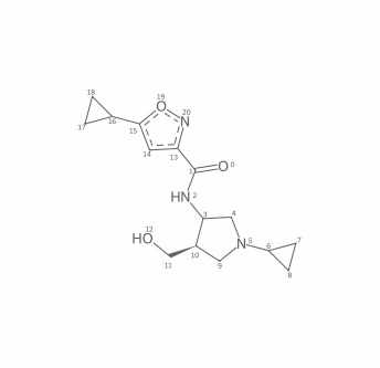 O=C(NC1CN(C2CC2)C[C@H]1CO)c1cc(C2CC2)on1